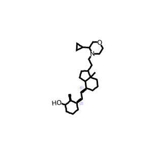 C=C1/C(=C\C=C2/CCCC3(C)C(CCN4CCOCC4C4CC4)CCC23)CCCC1O